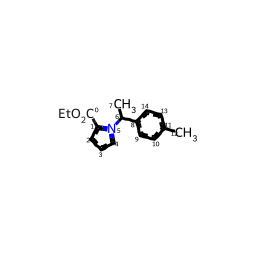 CCOC(=O)c1cccn1C(C)c1ccc(C)cc1